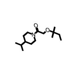 CCC(C)(C)OCC(=O)N1CCC(C(C)C)CC1